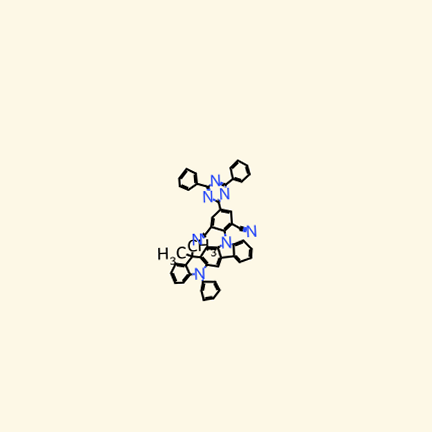 CC1(C)c2ccccc2N(c2ccccc2)c2cc3c4ccccc4n(-c4c(C#N)cc(-c5nc(-c6ccccc6)nc(-c6ccccc6)n5)cc4C#N)c3cc21